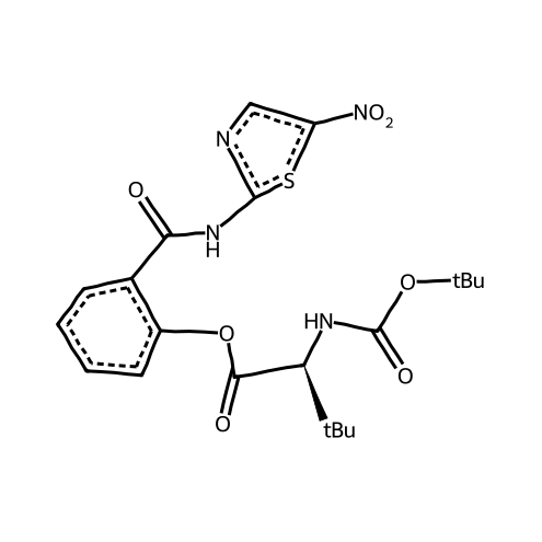 CC(C)(C)OC(=O)N[C@H](C(=O)Oc1ccccc1C(=O)Nc1ncc([N+](=O)[O-])s1)C(C)(C)C